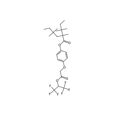 CCC(C)(C)CC(C)(C(=O)Oc1ccc(OCC(=O)OC(C(F)(F)F)C(F)(F)F)cc1)C(C)(C)CC